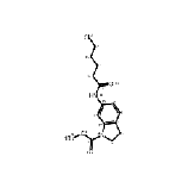 CC(C)(C)OC(=O)N1CCc2ccc(NC(=O)CCCCCl)cc21